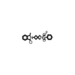 CC1c2ccccc2C(=O)N1C1CC2(C1)CN(S(=O)(=O)c1ccccc1F)C2